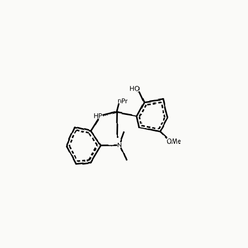 CCCC(C)(Pc1ccccc1N(C)C)c1cc(OC)ccc1O